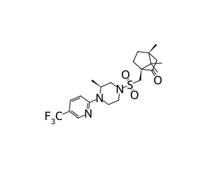 C[C@H]1CN(S(=O)(=O)C[C@]23CC[C@](C)(CC2=O)C3(C)C)CCN1c1ccc(C(F)(F)F)cn1